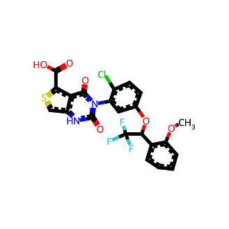 COc1ccccc1C(Oc1ccc(Cl)c(-n2c(=O)[nH]c3csc(C(=O)O)c3c2=O)c1)C(F)(F)F